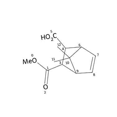 COC(=O)C1C(C(=O)O)C2C=CC1C2(C)C